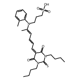 CCCCN1C(=O)C(=C/C=C/C=C(\C)N(CCCS(=O)(=O)O)c2ccccc2C)C(=O)N(CCCC)C1=S